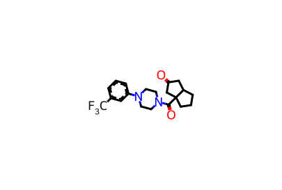 O=C1CC2CCCC2(C(=O)N2CCN(c3cccc(C(F)(F)F)c3)CC2)C1